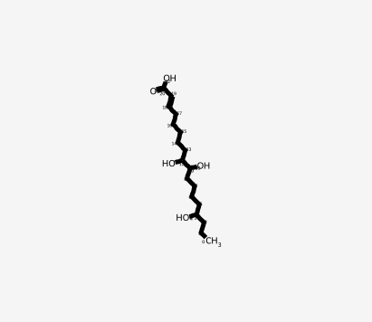 CCCC(O)CCCCC(O)C(O)CCCCCC=CC(=O)O